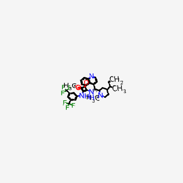 C=CC(C)C1CCN(C)C([C@H](Nc2c(Nc3cc(C(F)(F)F)cc(C(F)(F)F)c3)c(=O)c2=O)c2ccnc3ccc(OC)cc23)C1